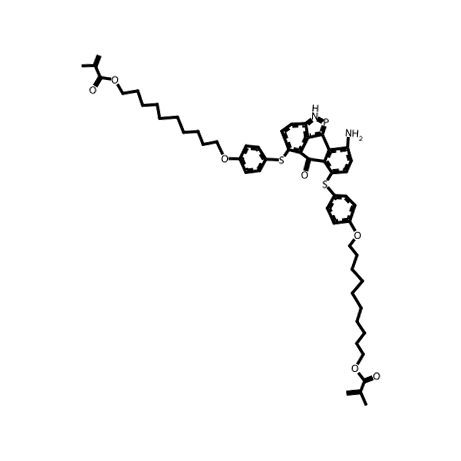 C=C(C)C(=O)OCCCCCCCCCCOc1ccc(Sc2ccc(N)c3c2C(=O)c2c(Sc4ccc(OCCCCCCCCCCOC(=O)C(=C)C)cc4)ccc4[nH]pc-3c24)cc1